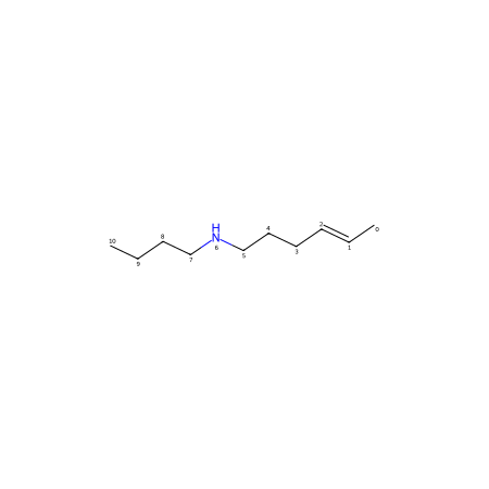 CC=CCCCNCCCC